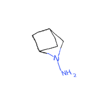 NN1CC2CC1C2